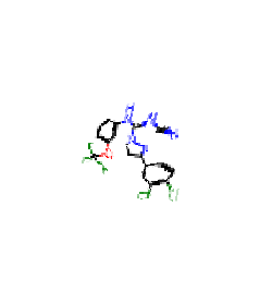 N#C/N=C(/Nc1cccc(OC(F)(F)F)c1)N1CCC(c2ccc(Cl)c(Cl)c2)=N1